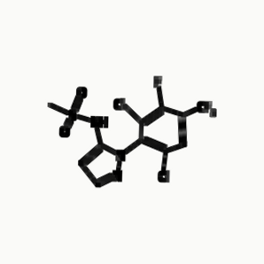 CS(=O)(=O)Nc1ccnn1-c1c(Cl)cc(C(F)(F)F)c(F)c1Cl